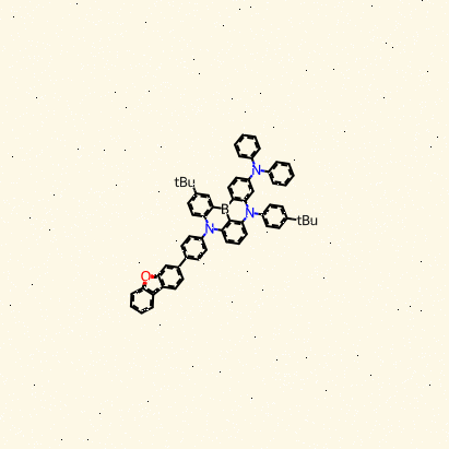 CC(C)(C)c1ccc(N2c3cc(N(c4ccccc4)c4ccccc4)ccc3B3c4cc(C(C)(C)C)ccc4N(c4ccc(-c5ccc6c(c5)oc5ccccc56)cc4)c4cccc2c43)cc1